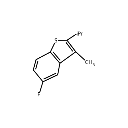 Cc1c(C(C)C)sc2ccc(F)cc12